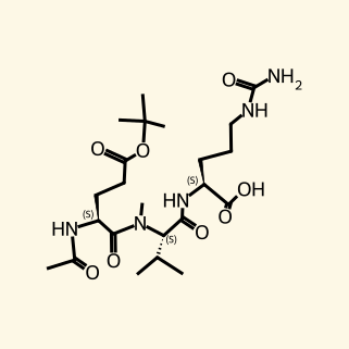 CC(=O)N[C@@H](CCC(=O)OC(C)(C)C)C(=O)N(C)[C@H](C(=O)N[C@@H](CCCNC(N)=O)C(=O)O)C(C)C